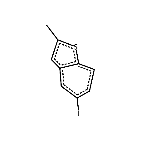 Cc1cc2cc(I)ccc2s1